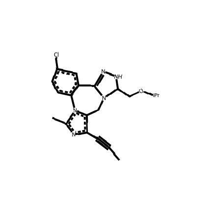 CC#Cc1nc(C)n2c1CN1C(=NNC1COC(C)C)c1cc(Cl)ccc1-2